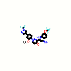 COc1cc(-c2cnn(C(F)F)c2)ccc1-n1ccc(=O)c(/C(=C/C=N)Nc2cccc(OC(F)(F)F)c2)n1